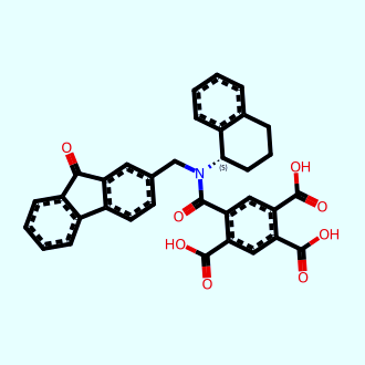 O=C(O)c1cc(C(=O)O)c(C(=O)N(Cc2ccc3c(c2)C(=O)c2ccccc2-3)[C@H]2CCCc3ccccc32)cc1C(=O)O